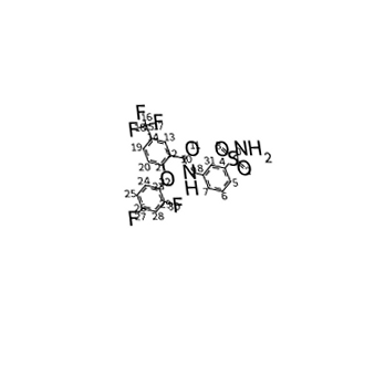 NS(=O)(=O)c1cccc(NC(=O)c2cc(C(F)(F)F)ccc2Oc2ccc(F)cc2F)c1